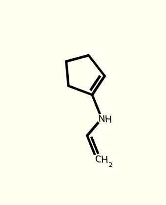 C=CNC1=CCCC1